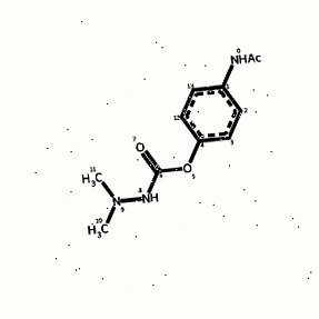 CC(=O)Nc1ccc(OC(=O)NN(C)C)cc1